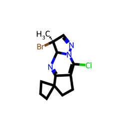 C[C@]1(Br)C=NN2C(Cl)=C3CCC4(CCC4)C3=NC21